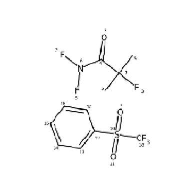 CC(C)(F)C(=O)N(F)F.O=S(=O)(c1ccccc1)C(F)(F)F